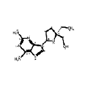 CC[C@@]1(CO)CC[C@H](n2cnc3c(N)nc(N)nc32)O1